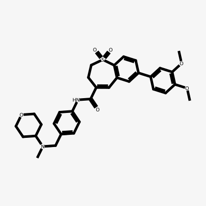 COc1ccc(-c2ccc3c(c2)C=C(C(=O)Nc2ccc(CN(C)C4CCOCC4)cc2)CCS3(=O)=O)cc1OC